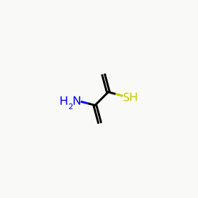 C=C(N)C(=C)S